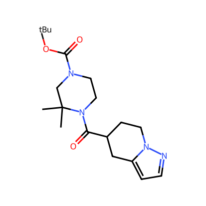 CC(C)(C)OC(=O)N1CCN(C(=O)C2CCn3nccc3C2)C(C)(C)C1